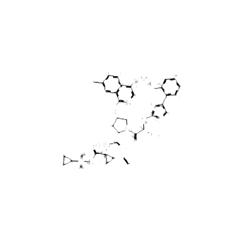 C=C[C@@H]1C[C@]1(NC(=O)[C@@H]1C[C@@H](Oc2ncc(OC)c3ccc(Cl)cc23)CN1C(=O)[C@@H](Nc1nc(-c2ccccc2OC(F)(F)F)cs1)C(C)(C)C)C(=O)NS(=O)(=O)C1CC1